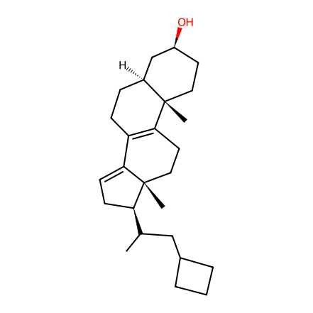 CC(CC1CCC1)[C@H]1CC=C2C3=C(CC[C@@]21C)[C@@]1(C)CC[C@H](O)C[C@@H]1CC3